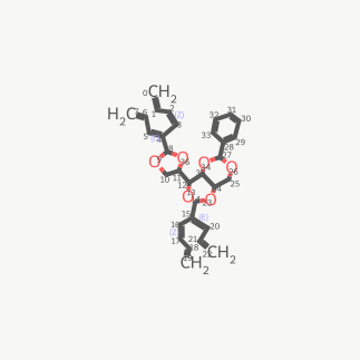 C=C/C=C\C(=C/C=C)C1OCC(C2OC(C(/C=C\C=C)=C/C=C)OC3COC(c4ccccc4)OC32)O1